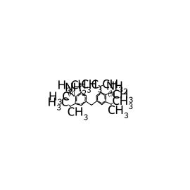 CC(C)c1cc(Cc2cc(C(C)C)c([C@@H](C)N)c(C(C)C)c2)cc(C(C)C)c1[C@H](C)N